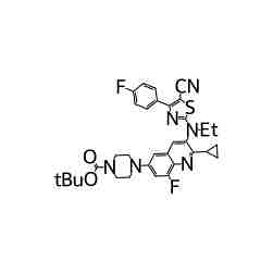 CCN(c1nc(-c2ccc(F)cc2)c(C#N)s1)c1cc2cc(N3CCN(C(=O)OC(C)(C)C)CC3)cc(F)c2nc1C1CC1